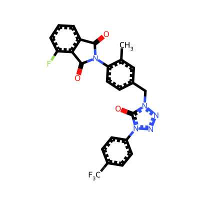 Cc1cc(Cn2nnn(-c3ccc(C(F)(F)F)cc3)c2=O)ccc1N1C(=O)c2cccc(F)c2C1=O